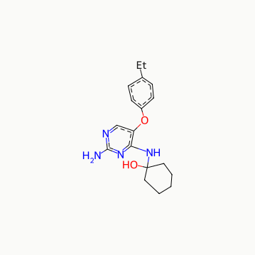 CCc1ccc(Oc2cnc(N)nc2NC2(O)CCCCC2)cc1